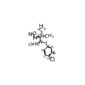 CN(C)C(=N[N+](=O)[O-])N(C=O)Cc1ccc(Cl)nc1